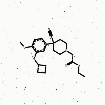 CCOC(=O)CN1CCC(C#N)(c2ccc(OC)c(OC3CCC3)c2)CC1